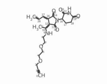 C#CCOCCOCCN/C(C)=C1\C(=O)N(C2CCC(=O)NC2=O)C(=O)\C1=C\C=C